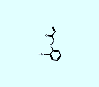 C=CC(=O)OOc1ccccc1CCCCCC